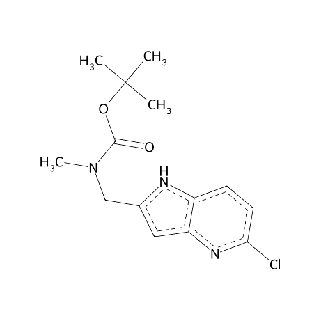 CN(Cc1cc2nc(Cl)ccc2[nH]1)C(=O)OC(C)(C)C